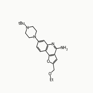 CCOCc1cc2c(N)nc3cc(N4CCN(C(C)(C)C)CC4)ccc3c2o1